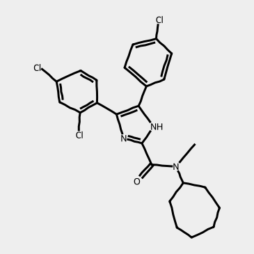 CN(C(=O)c1nc(-c2ccc(Cl)cc2Cl)c(-c2ccc(Cl)cc2)[nH]1)C1CCCCCC1